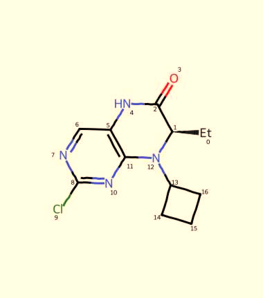 CC[C@@H]1C(=O)Nc2cnc(Cl)nc2N1C1CCC1